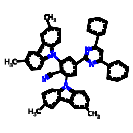 Cc1ccc2c(c1)c1cc(C)ccc1n2-c1cc(-c2nc(-c3ccccc3)cc(-c3ccccc3)n2)cc(-n2c3ccc(C)cc3c3cc(C)ccc32)c1C#N